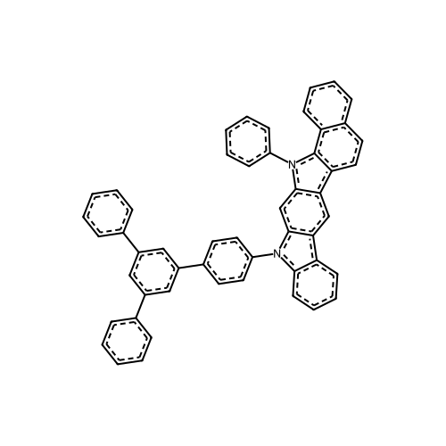 c1ccc(-c2cc(-c3ccccc3)cc(-c3ccc(-n4c5ccccc5c5cc6c7ccc8ccccc8c7n(-c7ccccc7)c6cc54)cc3)c2)cc1